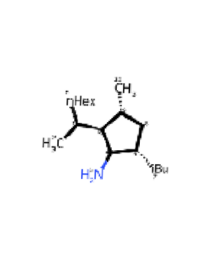 CCCCCCC(C)[C@@H]1C(N)[C@@H](C(C)CC)C[C@H]1C